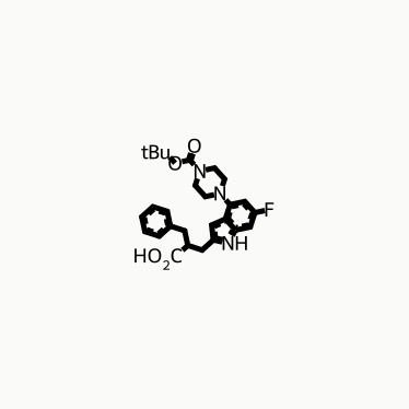 CC(C)(C)OC(=O)N1CCN(c2cc(F)cc3[nH]c(CC(Cc4ccccc4)C(=O)O)cc23)CC1